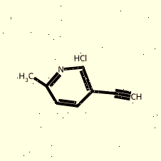 C#Cc1ccc(C)nc1.Cl